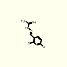 N=C(N)N/N=C/c1ccc(Cl)nc1Cl